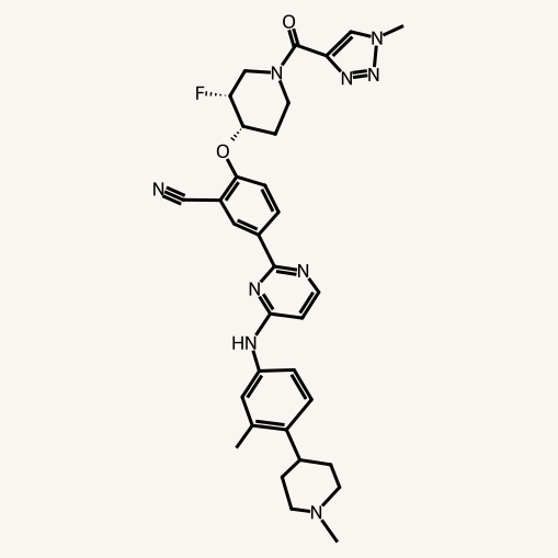 Cc1cc(Nc2ccnc(-c3ccc(O[C@H]4CCN(C(=O)c5cn(C)nn5)C[C@H]4F)c(C#N)c3)n2)ccc1C1CCN(C)CC1